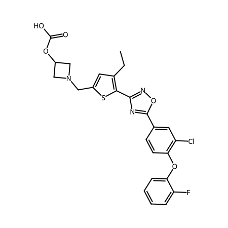 CCc1cc(CN2CC(OC(=O)O)C2)sc1-c1noc(-c2ccc(Oc3ccccc3F)c(Cl)c2)n1